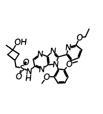 CCOc1cccc(-c2nc3ncc(NS(=O)(=O)CC4CC(C)(O)C4)nc3n2-c2c(OC)cccc2OC)n1